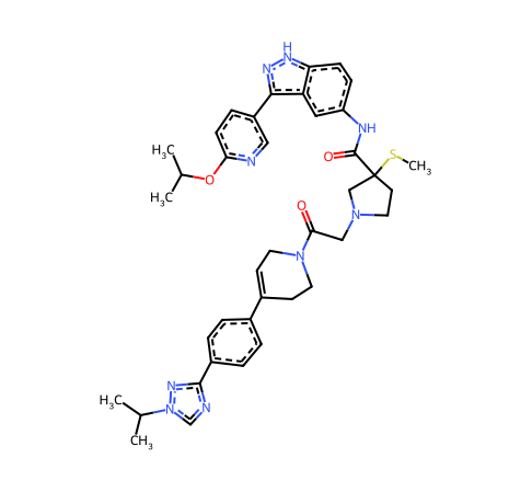 CSC1(C(=O)Nc2ccc3[nH]nc(-c4ccc(OC(C)C)nc4)c3c2)CCN(CC(=O)N2CC=C(c3ccc(-c4ncn(C(C)C)n4)cc3)CC2)C1